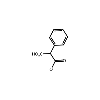 [O]C(=O)C(C(=O)O)c1ccccc1